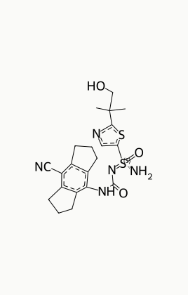 CC(C)(CO)c1ncc([S@@](N)(=O)=NC(=O)Nc2c3c(c(C#N)c4c2CCC4)CCC3)s1